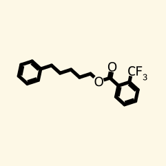 O=C(OCCCCCc1ccccc1)c1ccccc1C(F)(F)F